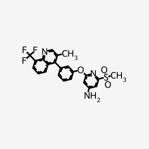 Cc1cnc2c(C(F)(F)F)cccc2c1-c1cccc(Oc2cc(N)cc(S(C)(=O)=O)n2)c1